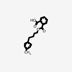 Cc1ccc(CCCCOC(=O)c2ccccc2C(=O)O)cc1